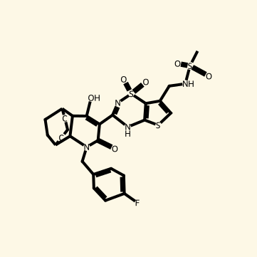 CS(=O)(=O)NCc1csc2c1S(=O)(=O)N=C(C1=C(O)C3C4CCCC(CC4)C3N(Cc3ccc(F)cc3)C1=O)N2